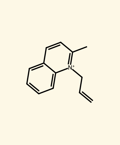 C=CC[n+]1c(C)ccc2ccccc21